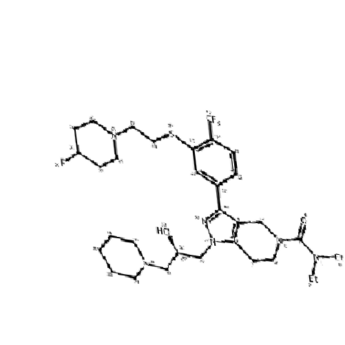 CCN(CC)C(=O)N1CCc2c(c(-c3ccc(C(F)(F)F)c(SCCN4CCC(F)CC4)c3)nn2C[C@H](O)CN2CCCCC2)C1